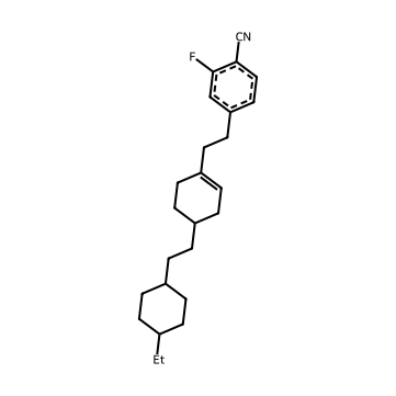 CCC1CCC(CCC2CC=C(CCc3ccc(C#N)c(F)c3)CC2)CC1